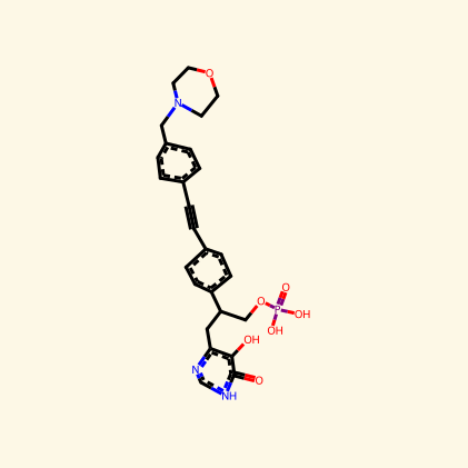 O=c1[nH]cnc(CC(COP(=O)(O)O)c2ccc(C#Cc3ccc(CN4CCOCC4)cc3)cc2)c1O